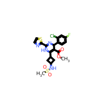 COC(=O)C1=C(C2CC(NS(C)(=O)=O)C2)NC(c2nccs2)=NC1c1ccc(F)cc1Cl